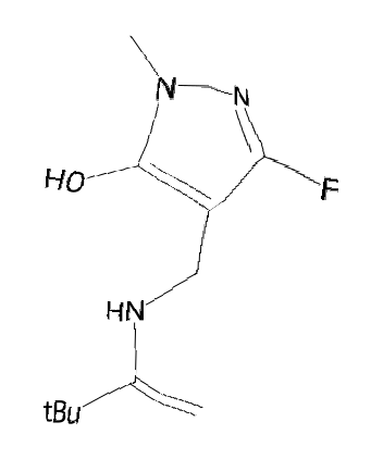 C=C(NCc1c(F)nn(C)c1O)C(C)(C)C